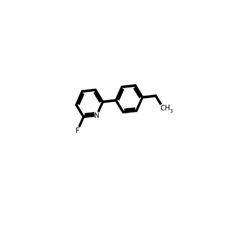 CCc1ccc(-c2cccc(F)n2)cc1